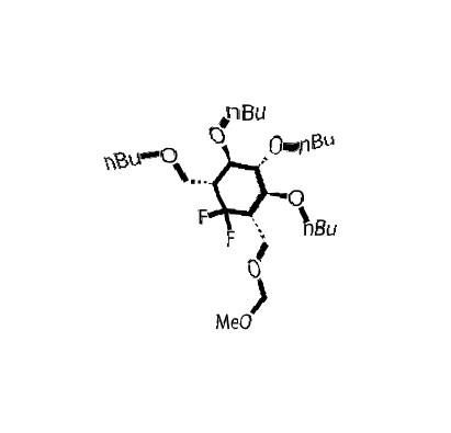 CCCCOC[C@@H]1[C@@H](OCCCC)[C@H](OCCCC)[C@@H](OCCCC)[C@H](COCOC)C1(F)F